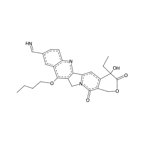 CCCCOc1c2c(nc3ccc(C=N)cc13)-c1cc3c(c(=O)n1C2)COC(=O)C3(O)CC